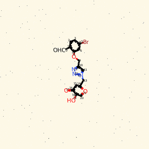 O=Cc1ccc(Br)cc1OCc1cn(Cc2cc(=O)c(O)co2)nn1